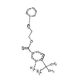 Cc1cc(C(=O)OCCOc2ccccc2)ccc1C(C)(C)C